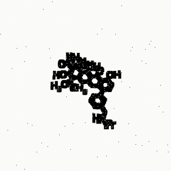 CC(C)NCc1cccc(-c2ccc(O)c3c2CC2CC4C(C(O)=C2C3=O)C(O)(O)C(C(N)=O)=C(O)[C@H]4N(C)C)c1